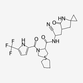 N#CC(CC1CC2(CC2)NC1=O)NC(=O)C1CS2(CCCC2)CN1C(=O)c1ccc(C(F)(F)F)[nH]1